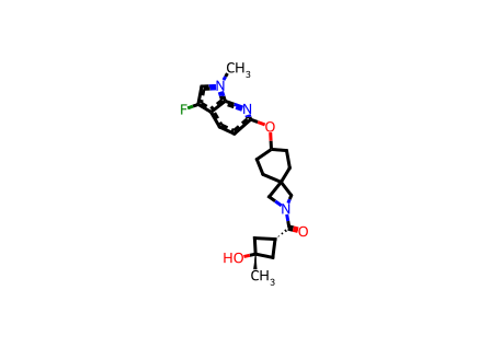 Cn1cc(F)c2ccc(OC3CCC4(CC3)CN(C(=O)[C@H]3C[C@@](C)(O)C3)C4)nc21